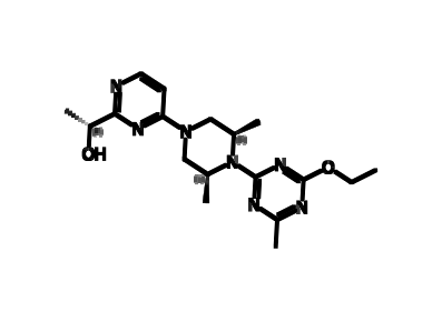 CCOc1nc(C)nc(N2[C@H](C)CN(c3ccnc([C@@H](C)O)n3)C[C@@H]2C)n1